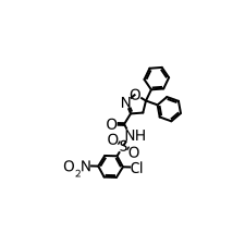 O=C(NS(=O)(=O)c1cc([N+](=O)[O-])ccc1Cl)C1=NOC(c2ccccc2)(c2ccccc2)C1